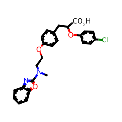 CN(CCOc1ccc(CC(Oc2ccc(Cl)cc2)C(=O)O)cc1)c1nc2ccccc2o1